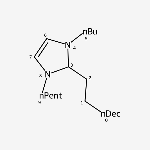 CCCCCCCCCCCCC1N(CCCC)C=CN1CCCCC